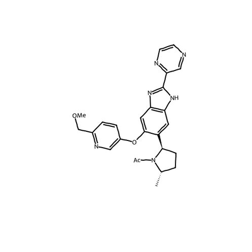 COCc1ccc(Oc2cc3nc(-c4cnccn4)[nH]c3cc2[C@H]2CC[C@H](C)N2C(C)=O)cn1